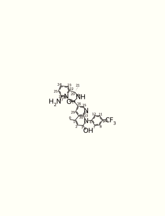 CC1=CC(O)N(c2ccc(C(F)(F)F)cc2)c2ncc(C(=O)N[C@@H](C)c3cccc(N)n3)cc21